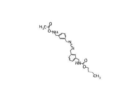 CCCCOC(=O)NCc1cccc(CN=C=NCc2cccc(CNOC(C)=O)c2)c1